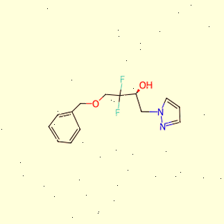 O[C@@H](Cn1cccn1)C(F)(F)COCc1ccccc1